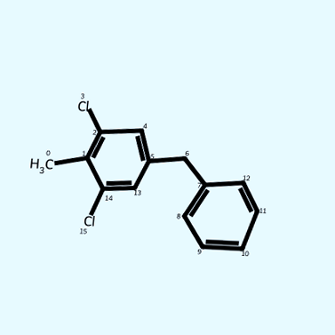 Cc1c(Cl)cc(Cc2ccccc2)cc1Cl